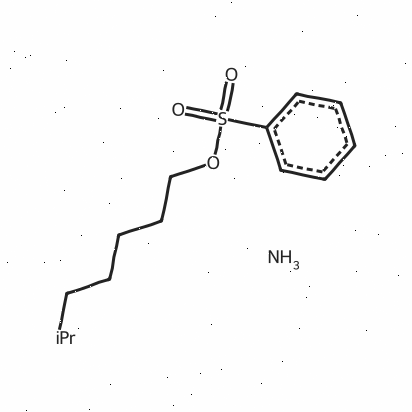 CC(C)CCCCCOS(=O)(=O)c1ccccc1.N